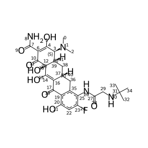 CN(C)[C@@H]1C(O)=C(C(N)=O)C(=O)[C@@]2(O)C(O)=C3C(=O)c4c(O)cc(F)c(NC(=O)CNC(C)(C)C)c4C[C@H]3C[C@@H]12